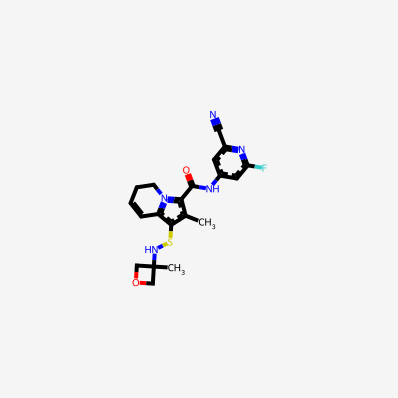 Cc1c(SNC2(C)COC2)c2n(c1C(=O)Nc1cc(F)nc(C#N)c1)CCC=C2